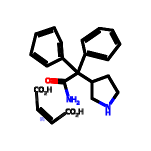 NC(=O)C(c1ccccc1)(c1ccccc1)C1CCNC1.O=C(O)/C=C\C(=O)O